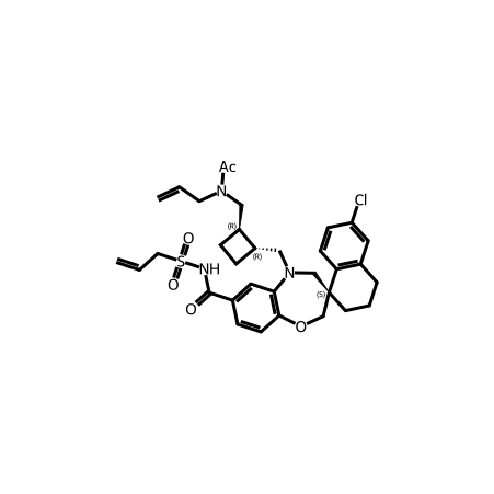 C=CCN(C[C@@H]1CC[C@H]1CN1C[C@@]2(CCCc3cc(Cl)ccc32)COc2ccc(C(=O)NS(=O)(=O)CC=C)cc21)C(C)=O